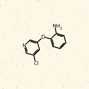 Nc1ccccc1Oc1cncc(Cl)c1